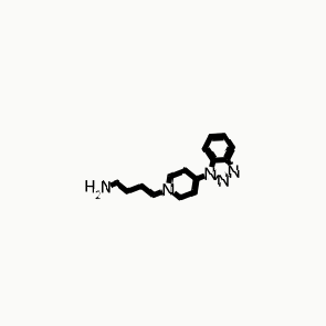 NCCCCN1CCC(n2nnc3ccccc32)CC1